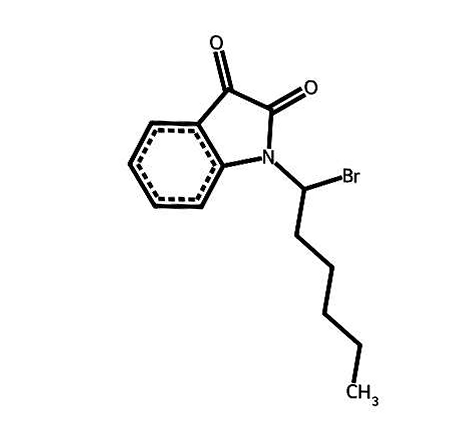 CCCCCC(Br)N1C(=O)C(=O)c2ccccc21